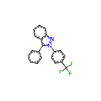 FC(F)(F)c1ccc(-n2nc3ccccc3c2-c2ccccc2)cc1